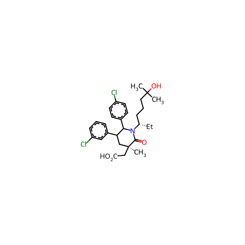 CC[C@@H](CCCC(C)(C)O)N1C(=O)[C@@](C)(CC(=O)O)CC(c2cccc(Cl)c2)C1c1ccc(Cl)cc1